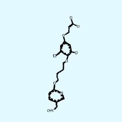 O=CCc1ccc(OCCCCOc2c(Cl)cc(OCC=C(Cl)Cl)cc2Cl)nc1